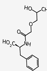 CC(O)COCC(=O)N[C@@H](Cc1ccccc1)C(=O)O